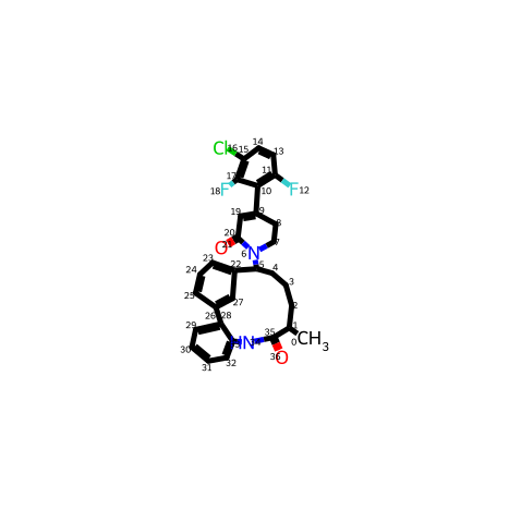 CC1CCCC(N2CCC(c3c(F)ccc(Cl)c3F)=CC2=O)c2cccc(c2)-c2ccccc2NC1=O